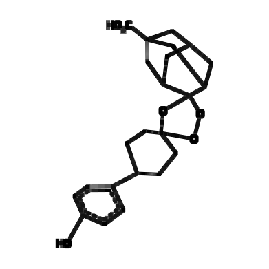 O=C(O)C12CC3CC(C1)C1(OOC4(CCC(c5ccc(O)cc5)CC4)O1)C(C3)C2